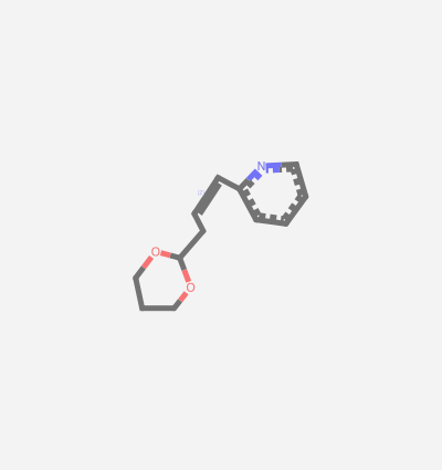 C(=C/c1ccccn1)/CC1OCCCO1